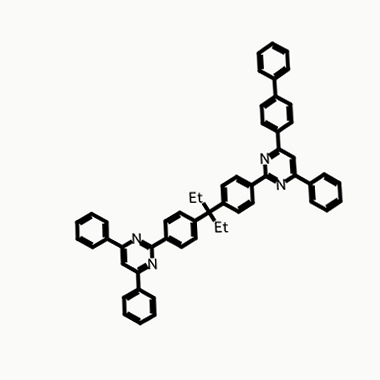 CCC(CC)(c1ccc(-c2nc(-c3ccccc3)cc(-c3ccccc3)n2)cc1)c1ccc(-c2nc(-c3ccccc3)cc(-c3ccc(-c4ccccc4)cc3)n2)cc1